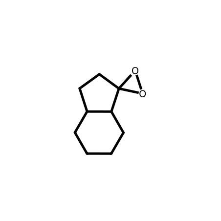 C1CCC2C(C1)CCC21OO1